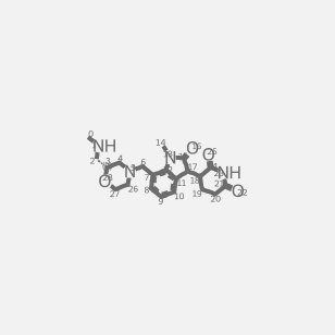 CNC[C@@H]1CN(Cc2cccc3c2N(C)C(=O)C3C2CCC(=O)NC2=O)CCO1